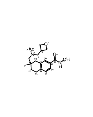 CC(=O)N(CC1COC1)CC1(C)CCc2ccc(C(=O)NO)cc2C1